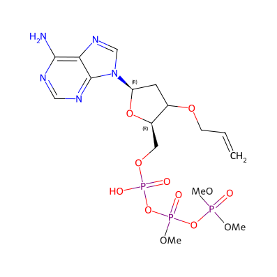 C=CCOC1C[C@H](n2cnc3c(N)ncnc32)O[C@@H]1COP(=O)(O)OP(=O)(OC)OP(=O)(OC)OC